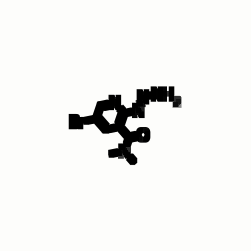 CN(C)C(=O)c1cc(Br)cnc1N=NN